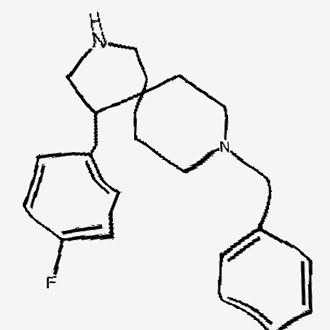 Fc1ccc(C2CNCC23CCN(Cc2ccccc2)CC3)cc1